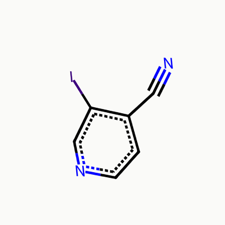 N#Cc1ccncc1I